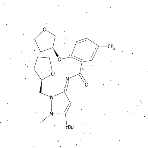 Cn1c(C(C)(C)C)c/c(=N\C(=O)c2cc(C(F)(F)F)ccc2O[C@H]2CCOC2)n1C[C@H]1CCCO1